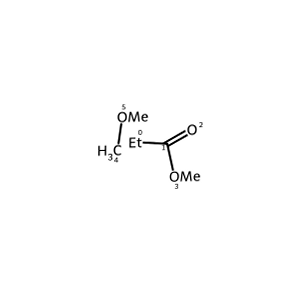 CCC(=O)OC.COC